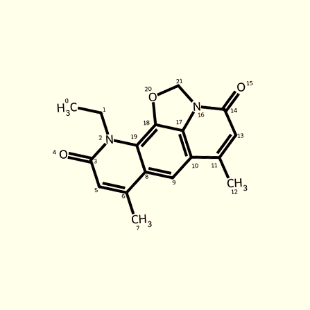 CCn1c(=O)cc(C)c2cc3c(C)cc(=O)n4c3c(c21)OC4